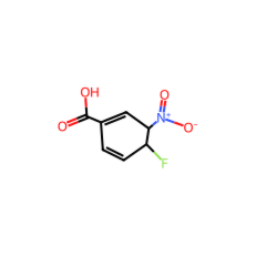 O=C(O)C1=CC([N+](=O)[O-])C(F)C=C1